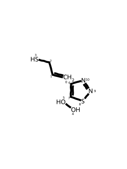 C=CCS.OO.c1csnn1